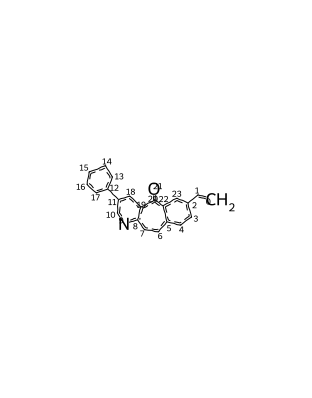 C=Cc1ccc2ccc3ncc(-c4ccccc4)cc3c(=O)c2c1